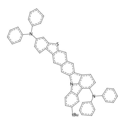 CC(C)(C)c1ccc2c(c1)c1c(N(c3ccccc3)c3ccccc3)ccc3c4cc5cc6sc7cc(N(c8ccccc8)c8ccccc8)ccc7c6cc5cc4n2c31